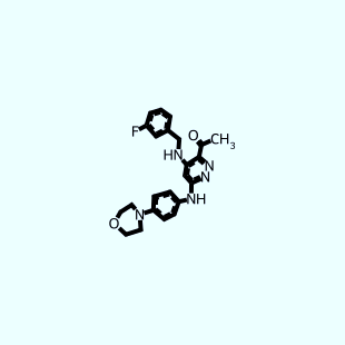 CC(=O)c1nnc(Nc2ccc(N3CCOCC3)cc2)cc1NCc1cccc(F)c1